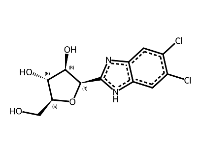 OC[C@@H]1O[C@H](c2nc3cc(Cl)c(Cl)cc3[nH]2)[C@H](O)[C@H]1O